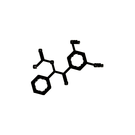 COc1cc(OC)cc(C(=O)C(OC(=O)Cl)c2ccccc2)c1